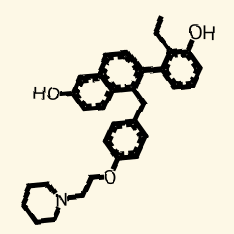 CCc1c(O)cccc1-c1ccc2cc(O)ccc2c1Cc1ccc(OCCN2CCCCC2)cc1